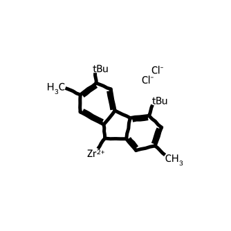 Cc1cc2c(c(C(C)(C)C)c1)-c1cc(C(C)(C)C)c(C)cc1[CH]2[Zr+2].[Cl-].[Cl-]